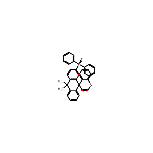 CC1(C)c2ccccc2C2(c3ccccc3Sc3ccccc32)c2cc(P(=O)(c3ccccc3)c3ccccc3)ccc21